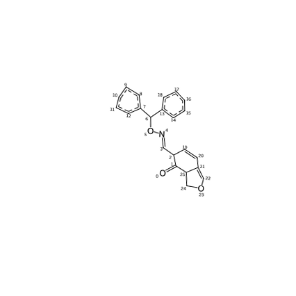 O=C1C(C=NOC(c2ccccc2)c2ccccc2)C=CC2=COCC12